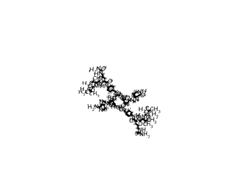 CC(C)[C@H](NC(=O)OC(C)(C)C)C(=O)N[C@@H](CCCNC(N)=O)C(=O)Nc1ccc(CSP2(=O)OC[C@H]3O[C@@H](n4cnc5c(=O)[nH]cnc54)C[C@@H]3OP(=O)(SCc3ccc(NC(=O)[C@H](CCCNC(N)=O)NC(=O)[C@@H](NC(=O)OC(C)(C)C)C(C)C)cc3)OC[C@H]3O[C@@H](n4cnc5c(N)ncnc54)[C@H](F)[C@@H]3O2)cc1